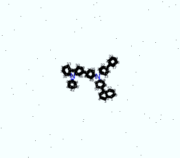 C1=CC2C=CC=C(C3=CC=C(N(c4ccc(-c5ccccc5)cc4)c4ccc(-c5ccc6c7ccccc7n(-c7ccccc7)c6c5)cc4)CC3)C2C=C1